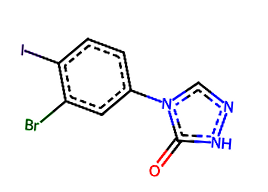 O=c1[nH]ncn1-c1ccc(I)c(Br)c1